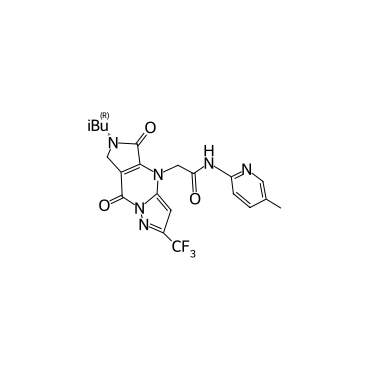 CC[C@@H](C)N1Cc2c(n(CC(=O)Nc3ccc(C)cn3)c3cc(C(F)(F)F)nn3c2=O)C1=O